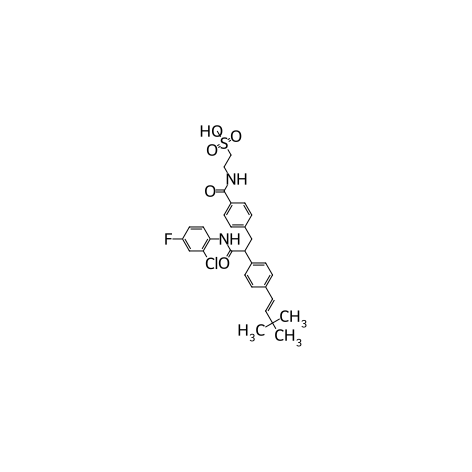 CC(C)(C)/C=C/c1ccc(C(Cc2ccc(C(=O)NCCS(=O)(=O)O)cc2)C(=O)Nc2ccc(F)cc2Cl)cc1